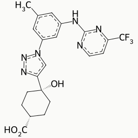 Cc1cc(Nc2nccc(C(F)(F)F)n2)cc(-n2cc([C@]3(O)CC[C@@H](C(=O)O)CC3)nn2)c1